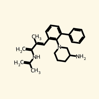 C=C(C)NC(=C)/C(C)=C/c1cccc(-c2ccccc2)c1N1CCCC(N)C1